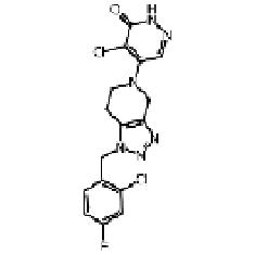 O=c1[nH]ncc(N2CCc3c(nnn3Cc3ccc(F)cc3Cl)C2)c1Cl